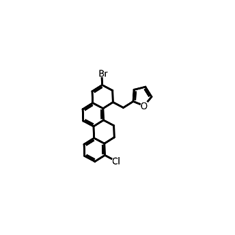 Clc1cccc2c1CCc1c-2ccc2c1C(Cc1ccco1)CC(Br)=C2